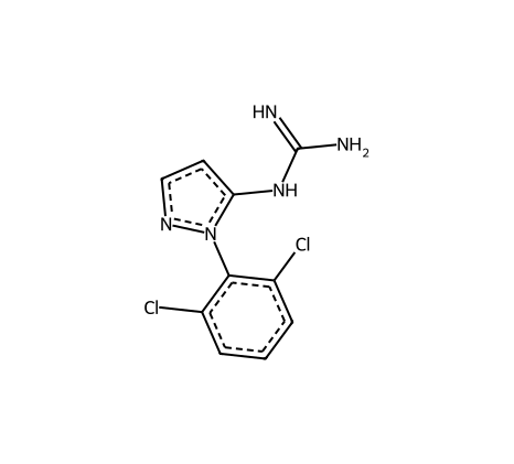 N=C(N)Nc1ccnn1-c1c(Cl)cccc1Cl